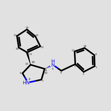 c1ccc(CN[C@@H]2CNC[C@H]2c2ccccc2)cc1